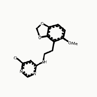 COc1ccc2c(c1CCNc1cc(Cl)ncn1)OCO2